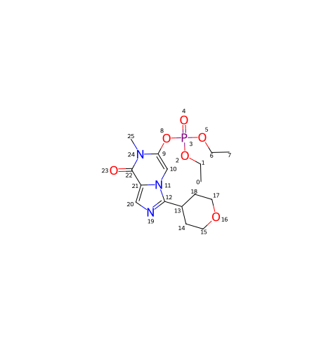 CCOP(=O)(OCC)Oc1cn2c(C3CCOCC3)ncc2c(=O)n1C